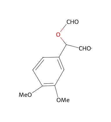 COc1ccc(C([C]=O)OC=O)cc1OC